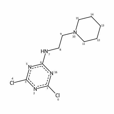 Clc1nc(Cl)nc(NCCN2CCCCC2)n1